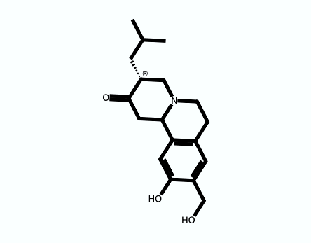 CC(C)C[C@@H]1CN2CCc3cc(CO)c(O)cc3C2CC1=O